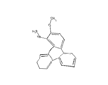 BNc1c(OC)ccc2c1c1c(c3ccccc32)=CCCC=1